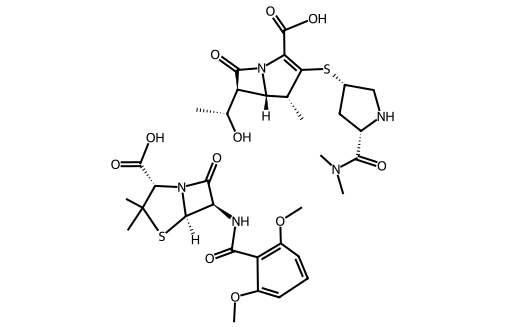 COc1cccc(OC)c1C(=O)N[C@@H]1C(=O)N2[C@@H]1SC(C)(C)[C@@H]2C(=O)O.C[C@@H](O)[C@H]1C(=O)N2C(C(=O)O)=C(S[C@@H]3CN[C@H](C(=O)N(C)C)C3)[C@H](C)[C@H]12